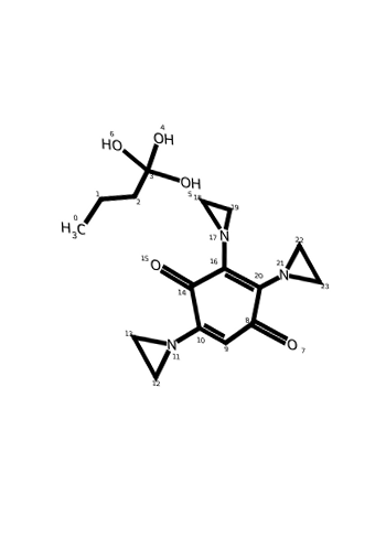 CCCC(O)(O)O.O=C1C=C(N2CC2)C(=O)C(N2CC2)=C1N1CC1